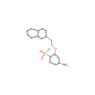 O=[N+]([O-])c1ccc(S(=O)(=O)Cl)c(OCCc2ccc3ccccc3c2)c1